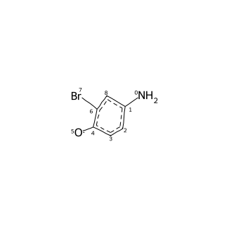 Nc1ccc([O])c(Br)c1